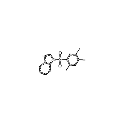 Cc1cc(C)c(S(=O)(=O)n2c[c]c3ccccc32)cc1C